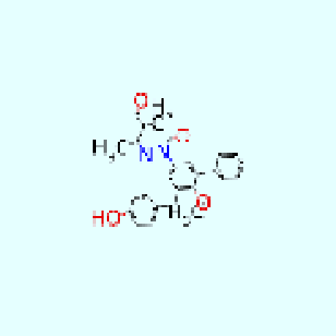 COc1c(Cc2ccc(O)cc2)cc(N(C=O)/N=C(/C)C(C)C=O)cc1-c1ccccc1